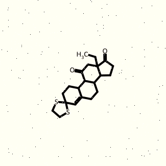 CCC12CC(=O)C3C4CCC5(C=C4CCC3C1CCC2=O)SCCS5